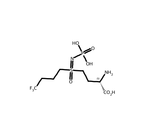 N[C@@H](CCS(=O)(CCCC(F)(F)F)=NP(=O)(O)O)C(=O)O